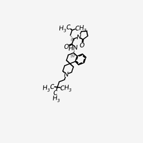 CC(C)C[C@@H](C(=O)N[C@H]1CCC2(CCN(CCC(C)(C)C)CC2)c2ccccc21)N1CCCC1=O